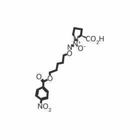 O=C(OCCCCCO/N=[N+](\[O-])N1CCC[C@H]1C(=O)O)c1ccc([N+](=O)[O-])cc1